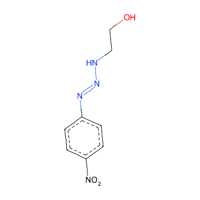 O=[N+]([O-])c1ccc(N=NNCCO)cc1